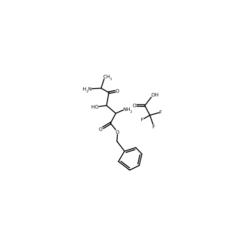 CC(N)C(=O)C(O)C(N)C(=O)OCc1ccccc1.O=C(O)C(F)(F)F